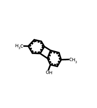 Cc1ccc2c(c1)-c1c(O)cc(C)cc1-2